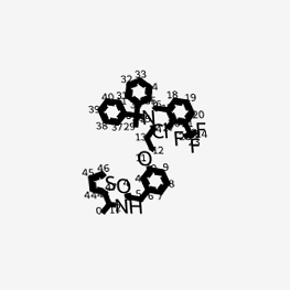 CC(NC(=O)Cc1cccc(OCCCN(Cc2cccc(C(F)(F)F)c2Cl)C(C)(c2ccccc2)c2ccccc2)c1)c1cccs1